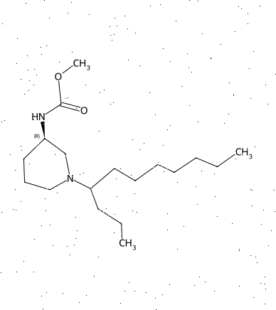 CCCCCCCC(CCC)N1CCC[C@@H](NC(=O)OC)C1